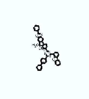 CC1(C)c2cc(-c3nc(-c4ccc(-c5ccccc5)cc4)nc(-c4cccc5c4oc4ccccc45)n3)ccc2-c2cc3nc(-c4ccccc4)oc3cc21